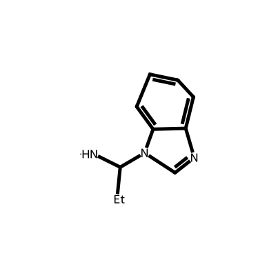 CCC([NH])n1cnc2ccccc21